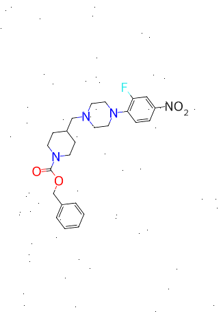 O=C(OCc1ccccc1)N1CCC(CN2CCN(c3ccc([N+](=O)[O-])cc3F)CC2)CC1